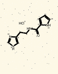 Cl.O=C(NCCc1c[nH]cn1)c1ccc[nH]1